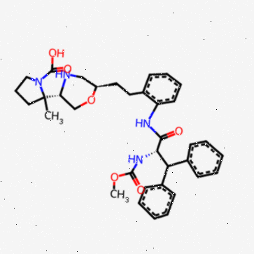 COC(=O)N[C@H](C(=O)Nc1ccccc1CC[C@@H]1CN[C@@H](C2(C)CCCN2C(=O)O)CO1)C(c1ccccc1)c1ccccc1